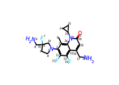 Cc1c(N2CC[C@](F)(CN)C2)c(F)c(F)c2c(CN)cc(=O)n(C3CC3)c12